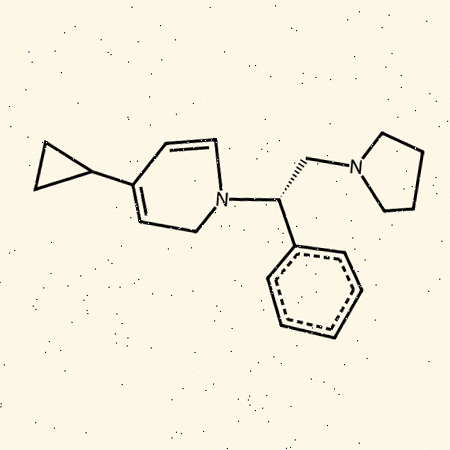 C1=CN([C@H](CN2CCCC2)c2ccccc2)CC=C1C1CC1